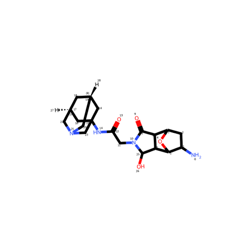 NC1CC2OC1C1C2C(=O)N(CC(=O)NC23C[C@@H]4C[C@@H](CN(C4)C2)C3)C1O